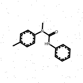 [C]N(C(=O)Nc1ccccc1)c1ccc(C)cc1